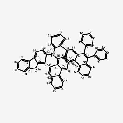 c1ccc(-c2c(-c3ccccc3)c3cc(-c4ccccc4N(c4ccc5c(c4)sc4ccccc45)c4cccc5c4ccc4ccccc45)ccc3c3ccccc23)cc1